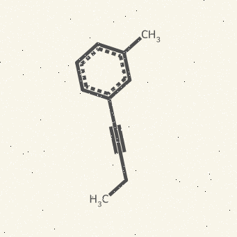 CCC#Cc1cccc(C)c1